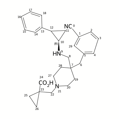 N#Cc1cccc(CC2(CN[C@@H]3CC3c3ccccc3)CCN(CC3(C(=O)O)CC3)CC2)c1